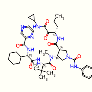 CCC[C@H](NC(=O)[C@H]1CN(C(=O)Nc2ccccc2)C[C@@H]1N(C)C(=O)[C@@H](NC(=O)[C@@H](NC(=O)c1cnccn1)C1CCCCC1)C(C)(C)C)C(=O)C(=O)NC1CC1